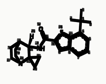 CC(C)(C)c1cccc2cc(C(=O)N[C@H]3C4CCN(CC4)C34CC4)sc12